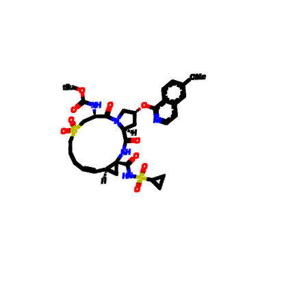 COc1ccc2c(O[C@@H]3C[C@H]4C(=O)N[C@]5(C(=O)NS(=O)(=O)C6CC6)C[C@H]5/C=C\CCCS(=O)(=O)C[C@H](NC(=O)OC(C)(C)C)C(=O)N4C3)nccc2c1